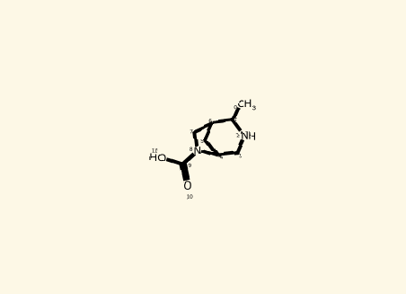 CC1NCC2CC1CN2C(=O)O